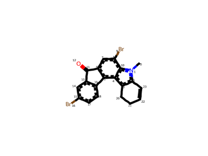 Cn1c2c(c3c4c(cc(Br)c31)C(=O)c1cc(Br)ccc1-4)CCC=C2